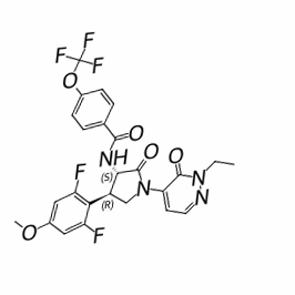 CCn1nccc(N2C[C@@H](c3c(F)cc(OC)cc3F)[C@H](NC(=O)c3ccc(OC(F)(F)F)cc3)C2=O)c1=O